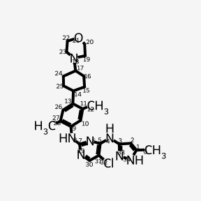 Cc1cc(Nc2nc(Nc3cc(C)c(C4CCC(N5CCOCC5)CC4)cc3C)ncc2Cl)n[nH]1